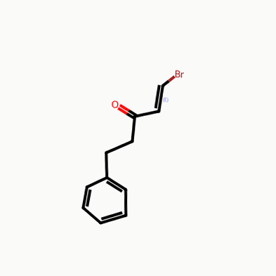 O=C(/C=C/Br)CCc1ccccc1